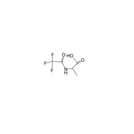 CC(NC(=O)C(F)(F)F)C(=O)O